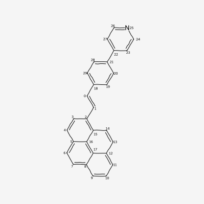 C(=Cc1ccc2ccc3cccc4ccc1c2c34)c1ccc(-c2ccncc2)cc1